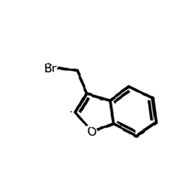 BrCc1[c]oc2ccccc12